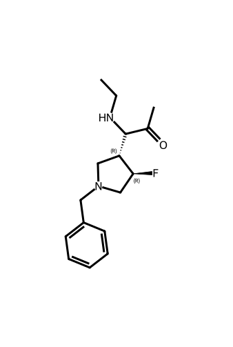 CCNC(C(C)=O)[C@H]1CN(Cc2ccccc2)C[C@@H]1F